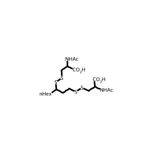 CCCCCCC(CCSSCC(NC(C)=O)C(=O)O)SSCC(NC(C)=O)C(=O)O